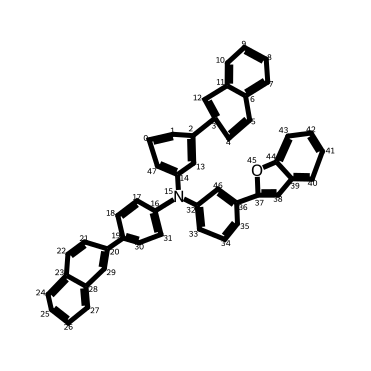 c1cc(-c2ccc3ccccc3c2)cc(N(c2ccc(-c3ccc4ccccc4c3)cc2)c2cccc(-c3cc4ccccc4o3)c2)c1